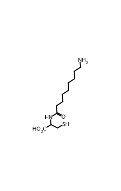 NCCCCCCCCC(=O)NC(CS)C(=O)O